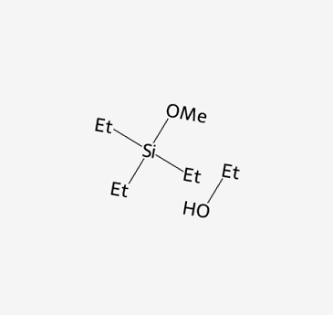 CCO.CC[Si](CC)(CC)OC